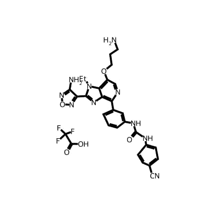 CCn1c(-c2nonc2N)nc2c(-c3cccc(NC(=O)Nc4ccc(C#N)cc4)c3)ncc(OCCCN)c21.O=C(O)C(F)(F)F